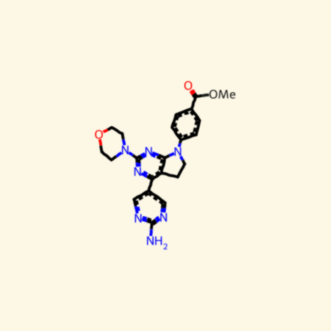 COC(=O)c1ccc(N2CCc3c(-c4cnc(N)nc4)nc(N4CCOCC4)nc32)cc1